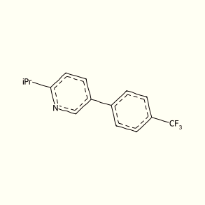 CC(C)c1ccc(-c2ccc(C(F)(F)F)cc2)cn1